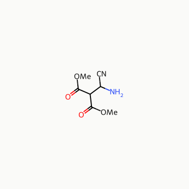 COC(=O)C(C(=O)OC)C(N)C#N